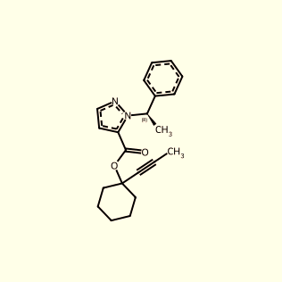 CC#CC1(OC(=O)c2ccnn2[C@H](C)c2ccccc2)CCCCC1